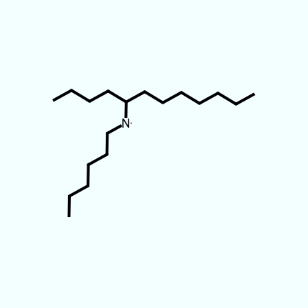 CCCCCCCC(CCCC)[N]CCCCCC